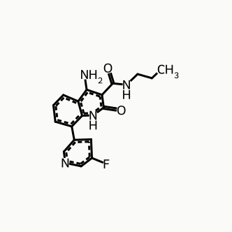 CCCNC(=O)c1c(N)c2cccc(-c3cncc(F)c3)c2[nH]c1=O